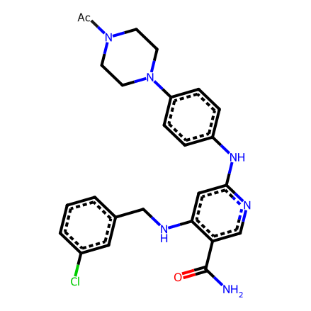 CC(=O)N1CCN(c2ccc(Nc3cc(NCc4cccc(Cl)c4)c(C(N)=O)cn3)cc2)CC1